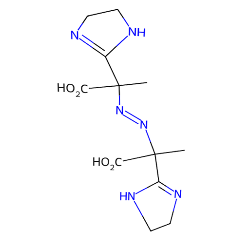 CC(N=NC(C)(C(=O)O)C1=NCCN1)(C(=O)O)C1=NCCN1